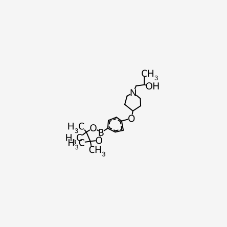 CC(O)CN1CCC(Oc2ccc(B3OC(C)(C)C(C)(C)O3)cc2)CC1